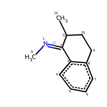 C/N=C1\c2ccccc2CCC1C